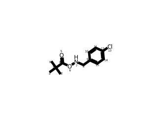 CC(C)(C)C(=O)ONCc1ccc(Cl)cc1